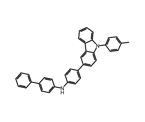 Cc1ccc(-n2c3ccccc3c3cc(-c4ccc(Nc5ccc(-c6ccccc6)cc5)cc4)ccc32)cc1